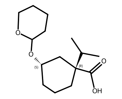 CC(C)[C@@]1(C(=O)O)CCC[C@H](OC2CCCCO2)C1